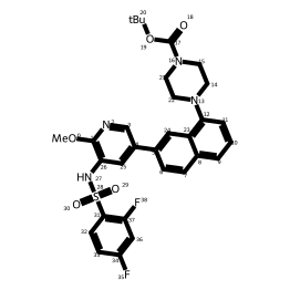 COc1ncc(-c2ccc3cccc(N4CCN(C(=O)OC(C)(C)C)CC4)c3c2)cc1NS(=O)(=O)c1ccc(F)cc1F